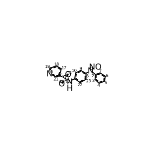 O=NN(c1ccccc1)c1ccc(NS(=O)(=O)c2cccnc2)cc1